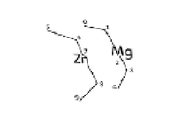 C[CH2][Mg][CH2]C.C[CH2][Zn][CH2]C